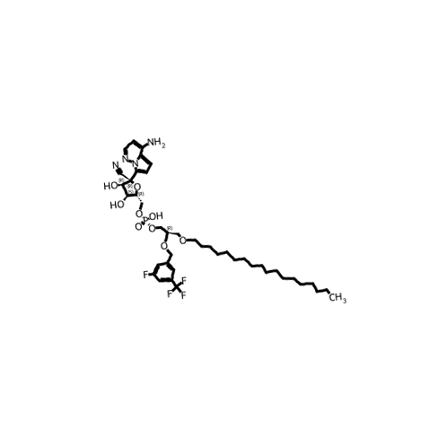 CCCCCCCCCCCCCCCCCCOC[C@H](COP(=O)(O)OC[C@H]1O[C@@](C#N)(c2ccc3c(N)ccnn23)[C@H](O)[C@@H]1O)OCc1cc(F)cc(C(F)(F)F)c1